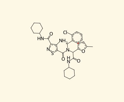 Cc1ccc(C(C(=O)NC2CCCCC2)N(Cc2ccccc2Cl)C(=O)c2snc(C(=O)NC3CCCCC3)c2N)o1